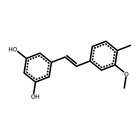 COc1cc(/C=C/c2cc(O)cc(O)c2)ccc1C